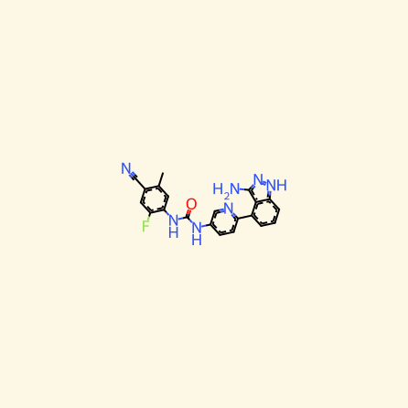 Cc1cc(NC(=O)Nc2ccc(-c3cccc4[nH]nc(N)c34)nc2)c(F)cc1C#N